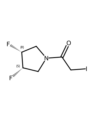 O=C(CI)N1C[C@@H](F)[C@@H](F)C1